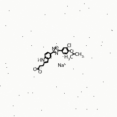 CC(C)Oc1ccc(-c2nc(-c3ccc4[nH]c(CCC(=O)[O-])cc4c3)no2)cc1Cl.[Na+]